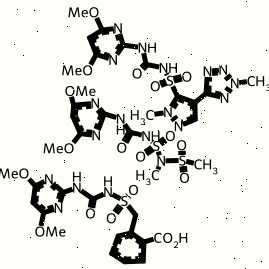 COc1cc(OC)nc(NC(=O)NS(=O)(=O)Cc2ccccc2C(=O)O)n1.COc1cc(OC)nc(NC(=O)NS(=O)(=O)N(C)S(C)(=O)=O)n1.COc1cc(OC)nc(NC(=O)NS(=O)(=O)c2c(-c3nnn(C)n3)cnn2C)n1